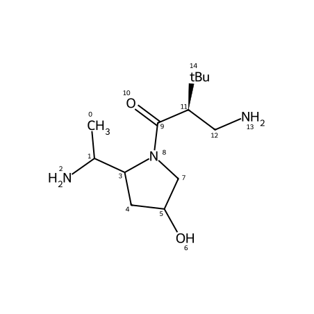 CC(N)C1CC(O)CN1C(=O)[C@H](CN)C(C)(C)C